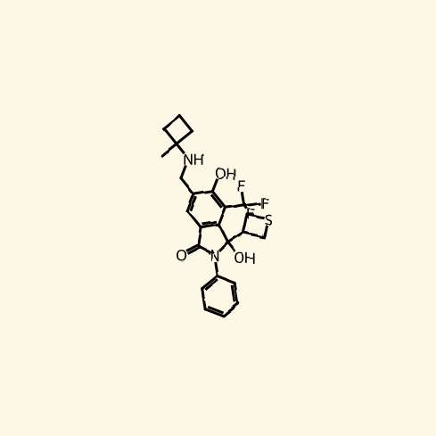 CC1(NCc2cc3c(c(C(F)(F)F)c2O)C(O)(C2CSC2)N(c2ccccc2)C3=O)CCC1